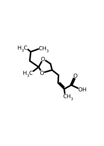 CC(=CCC1COC(C)(CC(C)C)O1)C(=O)O